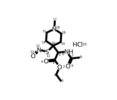 CCOC(=O)C(NC(C)=O)C1(SN=O)CCN(C)CC1.Cl